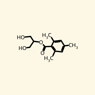 Cc1cc(C)c(C(=O)OC(CO)CO)c(C)c1